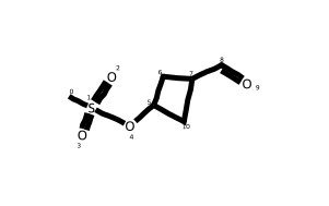 CS(=O)(=O)OC1CC(C=O)C1